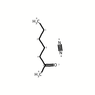 CCCCCC(C)=O.N#N